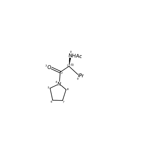 CC(=O)N[C@H](C(=O)N1CCCC1)C(C)C